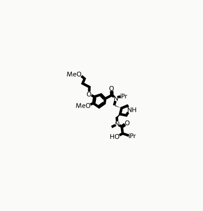 COCCCOc1cc(C(=O)N(C[C@@H]2CNC[C@H]2CN(C)C(=O)C(O)C(C)C)C(C)C)ccc1OC